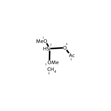 C.CO[SiH](OC)OC(C)=O